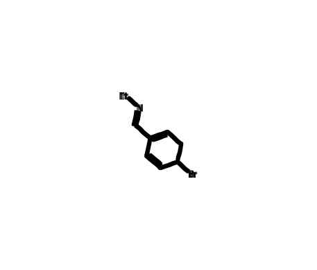 CC/N=C/C1=CCC(Br)C=C1